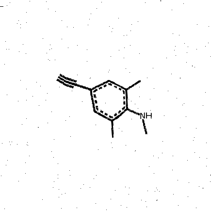 C#Cc1cc(C)c(NC)c(C)c1